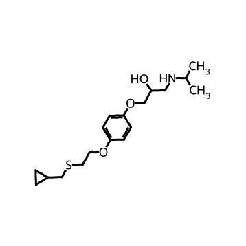 CC(C)NCC(O)COc1ccc(OCCSCC2CC2)cc1